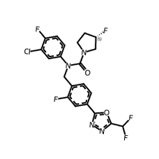 O=C(N1CC[C@H](F)C1)N(Cc1ccc(-c2nnc(C(F)F)o2)cc1F)c1ccc(F)c(Cl)c1